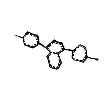 Brc1ccc(-c2ccc(-c3ccc(Br)cc3)c3ccccc23)cc1